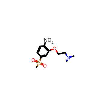 CN(C)CCOc1cc(S(C)(=O)=O)ccc1[N+](=O)[O-]